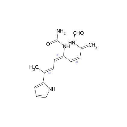 C=C(\C=C/C(=C\C=C(/C)c1ccc[nH]1)NC(N)=O)NC=O